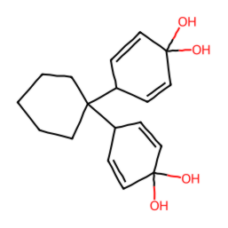 OC1(O)C=CC(C2(C3C=CC(O)(O)C=C3)CCCCC2)C=C1